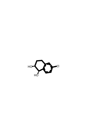 O[C@@H]1c2ccc(Cl)cc2CC[C@@H]1O